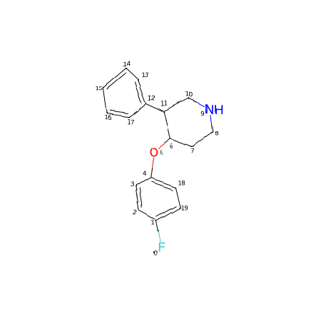 Fc1ccc(OC2CCNCC2c2ccccc2)cc1